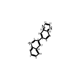 c1ccc2ncc(-c3ccc4nccnc4c3)cc2c1